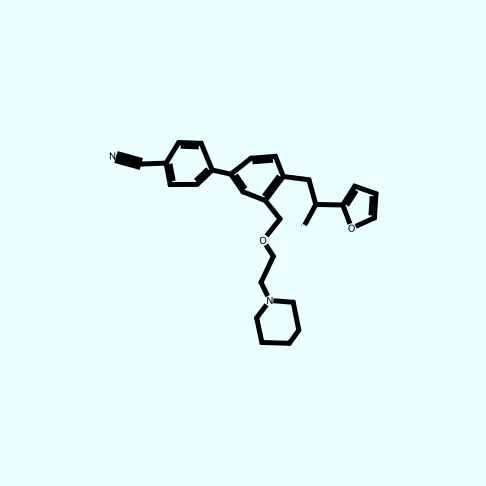 [CH2]C(Cc1ccc(-c2ccc(C#N)cc2)cc1COCCN1CCCCC1)c1ccco1